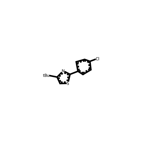 CC(C)(C)c1csc(-c2ccc(Cl)cc2)n1